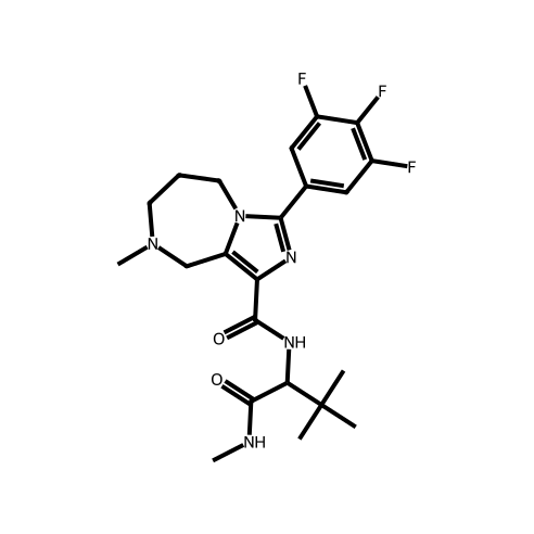 CNC(=O)C(NC(=O)c1nc(-c2cc(F)c(F)c(F)c2)n2c1CN(C)CCC2)C(C)(C)C